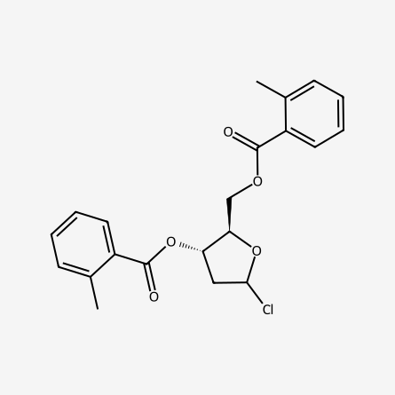 Cc1ccccc1C(=O)OC[C@H]1OC(Cl)C[C@@H]1OC(=O)c1ccccc1C